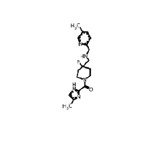 Cc1ccc(CNCC2(F)CCN(C(=O)c3nc(C)c[nH]3)CC2)nc1